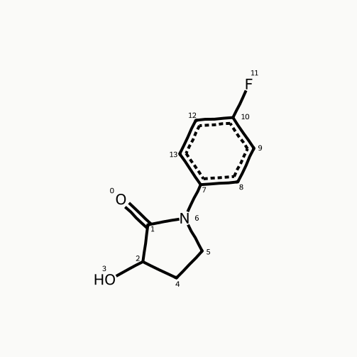 O=C1C(O)CCN1c1ccc(F)cc1